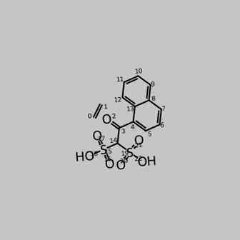 C=C.O=C(c1cccc2ccccc12)C(S(=O)(=O)O)S(=O)(=O)O